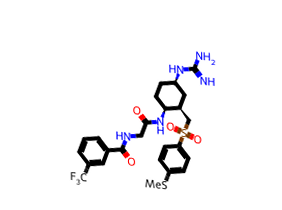 CSc1ccc(S(=O)(=O)C[C@@H]2C[C@H](NC(=N)N)CC[C@@H]2NC(=O)CNC(=O)c2cccc(C(F)(F)F)c2)cc1